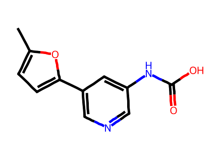 Cc1ccc(-c2cncc(NC(=O)O)c2)o1